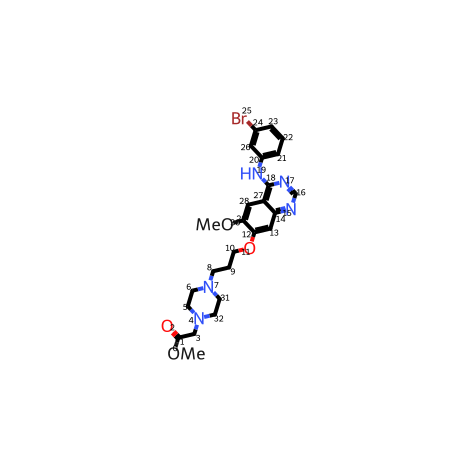 COC(=O)CN1CCN(CCCOc2cc3ncnc(Nc4cccc(Br)c4)c3cc2OC)CC1